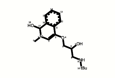 CN1C=C(OCC(O)CNC(C)(C)C)c2ccccc2C1O